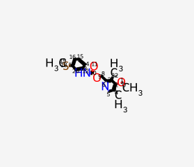 COc1c(C)cnc(COC(=O)Nc2cccc(SC)c2)c1C